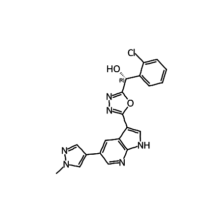 Cn1cc(-c2cnc3[nH]cc(-c4nnc([C@H](O)c5ccccc5Cl)o4)c3c2)cn1